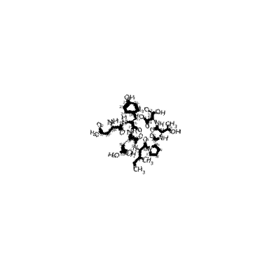 CC[C@H](C)[C@H](NC(=O)[C@H](CC(=O)O)NC(=O)[C@H](Cc1ccc(O)cc1)NC(=O)[C@@H](N)CC(=O)O)C(=O)N1CCC[C@H]1C(=O)N[C@H](C(=O)N[C@H](C(=O)O)[C@@H](C)O)[C@@H](C)O